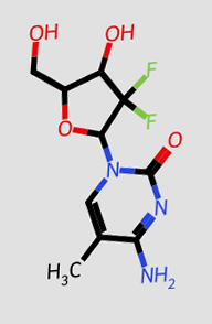 Cc1cn(C2OC(CO)C(O)C2(F)F)c(=O)nc1N